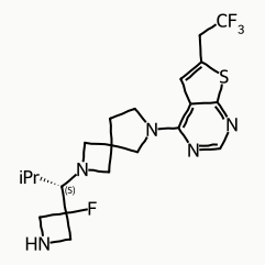 CC(C)[C@H](N1CC2(CCN(c3ncnc4sc(CC(F)(F)F)cc34)C2)C1)C1(F)CNC1